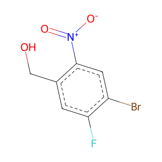 O=[N+]([O-])c1cc(Br)c(F)cc1CO